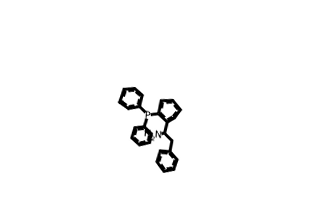 NC(Cc1ccccc1)c1ccccc1P(c1ccccc1)c1ccccc1